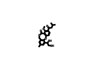 COc1c(C(=O)CC(C)C)ccc2c1C(=O)OCc1cc(C)cc(C(O)CO)c1O2